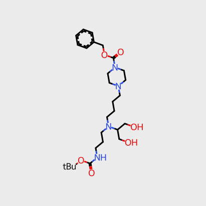 CC(C)(C)OC(=O)NCCCN(CCCCN1CCN(C(=O)OCc2ccccc2)CC1)C(CO)CO